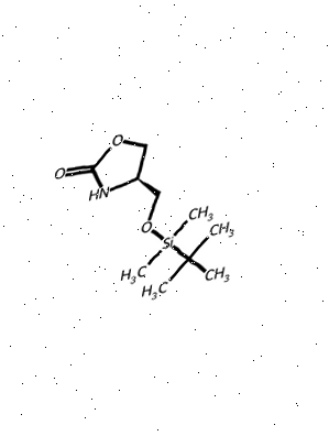 CC(C)(C)[Si](C)(C)OC[C@@H]1COC(=O)N1